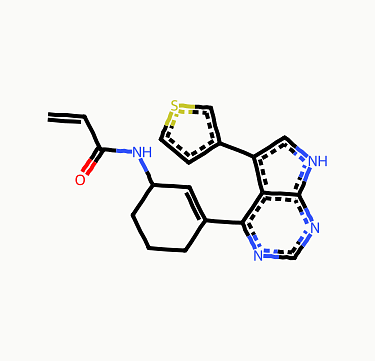 C=CC(=O)NC1C=C(c2ncnc3[nH]cc(-c4ccsc4)c23)CCC1